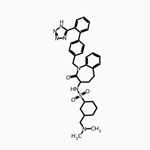 CN(C)CC1CCCC(S(=O)(=O)NC2CCc3ccccc3N(Cc3ccc(-c4ccccc4-c4nnn[nH]4)cc3)C2=O)C1